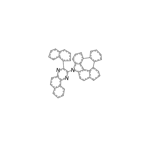 c1ccc2c(c1)-c1cccc3ccc4c(c13)c1c-2cccc1n4-c1nc2c(ccc3ccccc32)nc1-c1cccc2ccccc12